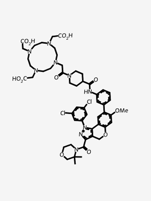 COc1cc2c(cc1-c1cccc(NC(=O)C3CCN(C(=O)CN4CCN(CC(=O)O)CCN(CC(=O)O)CCN(CC(=O)O)CC4)CC3)c1)-c1c(c(C(=O)N3CCOCC3(C)C)nn1-c1cc(Cl)cc(Cl)c1)CO2